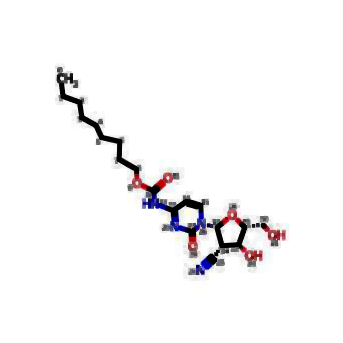 CCCCCCCCCOC(=O)Nc1ccn([C@@H]2O[C@H](CO)[C@@H](O)[C@@H]2C#N)c(=O)n1